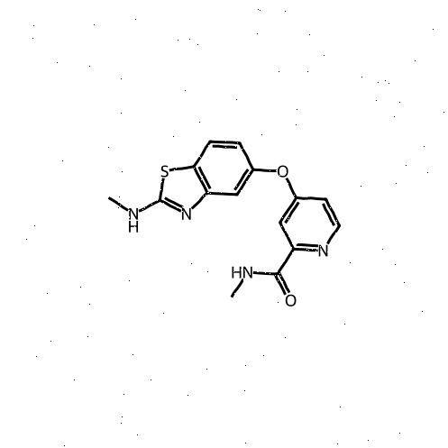 CNC(=O)c1cc(Oc2ccc3sc(NC)nc3c2)ccn1